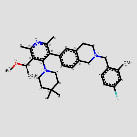 COc1cc(F)ccc1CN1CCc2cc(-c3c(C)nc(C)c([C@H](OC(C)(C)C)C(=O)O)c3N3CCC(C)(C)CC3)ccc2C1